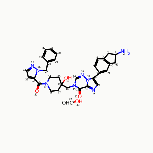 NC1Cc2ccc(-c3cnc4c(=O)n(CC5(O)CCN(C(=O)c6ccnn6Cc6ccccc6)CC5)cnn34)cc2C1.O=CO